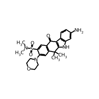 CN(C)S(=O)(=O)c1cc2c(cc1N1CCOCC1)C(C)(C)c1[nH]c3cc(N)ccc3c1C2=O